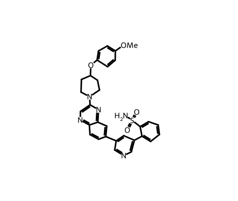 COc1ccc(OC2CCN(c3cnc4ccc(-c5cncc(-c6ccccc6S(N)(=O)=O)c5)cc4n3)CC2)cc1